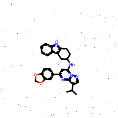 CC(C)c1cnn2c(NC3CCc4[nH]c5ccccc5c4C3)cc(-c3ccc4c(c3)OCO4)nc12